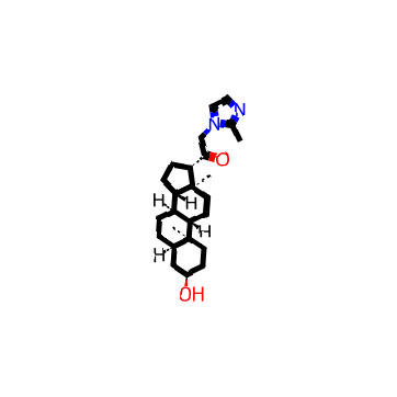 Cc1nccn1CC(=O)[C@H]1CC[C@H]2[C@@H]3CC[C@@H]4C[C@H](O)CC[C@]4(C)[C@H]3CC[C@]12C